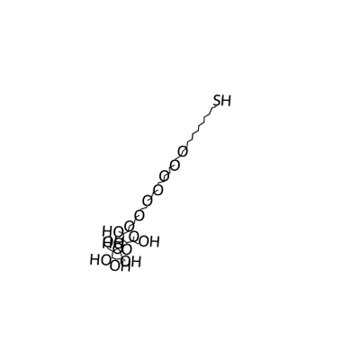 OCC1OC(OC2C(CO)OC(OCCOCCOCCOCCOCCOCCOCCCCCCCCCCCS)C(O)C2O)C(O)C(O)C1O